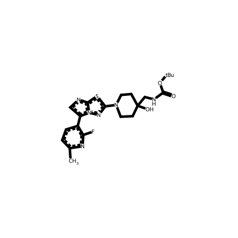 Cc1ccc(-c2cnc3sc(N4CCC(O)(CNC(=O)OC(C)(C)C)CC4)nn23)c(F)n1